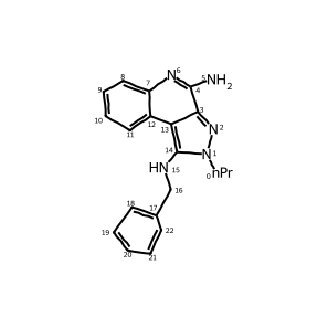 CCCn1nc2c(N)nc3ccccc3c2c1NCc1ccccc1